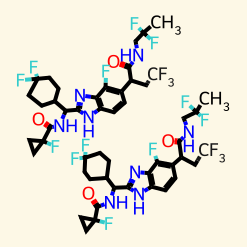 CC(F)(F)CNC(=O)C(CC(F)(F)F)c1ccc2[nH]c(C(NC(=O)C3(F)CC3)C3CCC(F)(F)CC3)nc2c1F.CC(F)(F)CNC(=O)C(CC(F)(F)F)c1ccc2[nH]c(C(NC(=O)C3(F)CC3)C3CCC(F)(F)CC3)nc2c1F